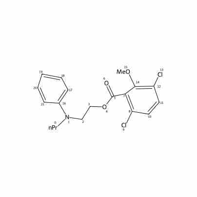 CCCN(CCOC(=O)c1c(Cl)ccc(Cl)c1OC)c1ccccc1